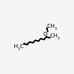 C/C=C/CCCCCCC(CC)OCCC